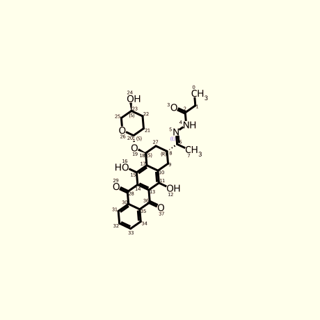 CCC(=O)N/N=C(\C)[C@@H]1Cc2c(O)c3c(c(O)c2[C@@H](O[C@H]2CC[C@H](O)CO2)C1)C(=O)c1ccccc1C3=O